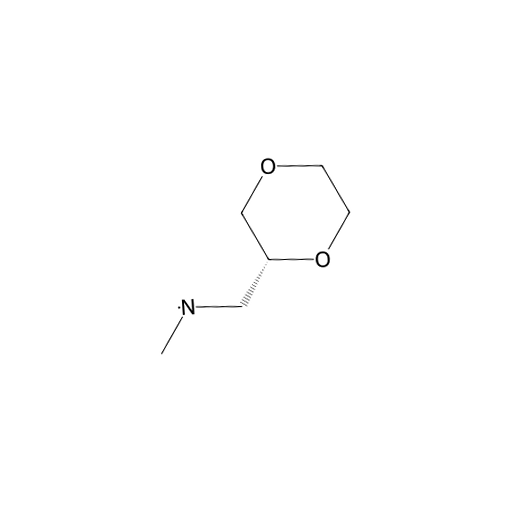 C[N]C[C@@H]1COCCO1